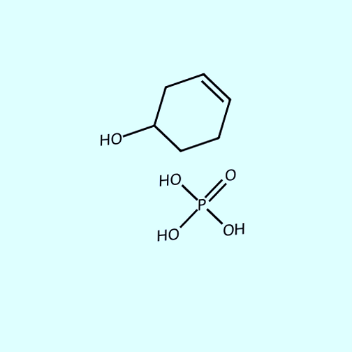 O=P(O)(O)O.OC1CC=CCC1